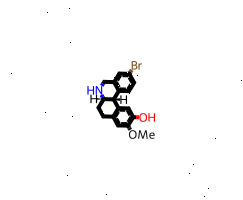 COc1cc2c(cc1O)[C@H]1c3ccc(Br)cc3CN[C@@H]1CC2